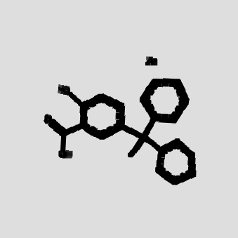 CC(c1ccccc1)(c1ccccc1)c1ccc(O)c(C(=O)O)c1.[Zn]